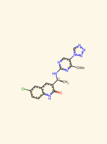 COc1nc(N[C@@H](C)c2cc3cc(Cl)ccc3[nH]c2=O)ncc1-n1cnnn1